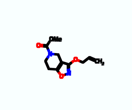 C=CCOc1noc2c1CN(C(=O)OC)CC2